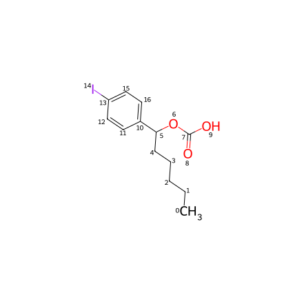 CCCCCC(OC(=O)O)c1ccc(I)cc1